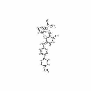 CN1CCC(c2ccc(Nc3ncc(F)c(N[C@@H]4[C@H]5C=CC(C5)[C@@H]4C(N)=O)n3)cc2)CC1